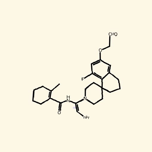 CCC/C=C(/NC(=O)C1=C(C)CCCC1)N1CCC2(CCCc3cc(OCC=O)cc(F)c32)CC1